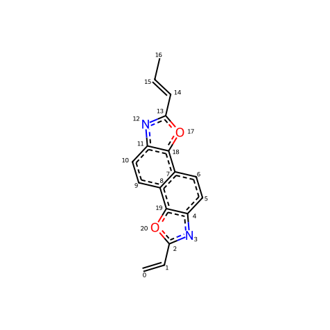 C=Cc1nc2ccc3c(ccc4nc(/C=C/C)oc43)c2o1